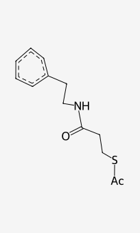 CC(=O)SCCC(=O)NCCc1ccccc1